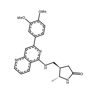 COc1ccc(-c2cc3ncccc3c(NC[C@H]3CC(=O)N[C@@H]3C)n2)cc1OC